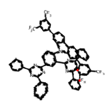 FC(F)(F)c1cc(-c2ccc3c4ccc(-c5cc(C(F)(F)F)cc(C(F)(F)F)c5)cc4n(-c4ccc(-c5nc(-c6ccccc6)nc(-c6ccccc6)n5)cc4-c4nc(-c5ccccc5)cc(-c5ccccc5)n4)c3c2)cc(C(F)(F)F)c1